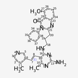 Cc1ccncc1/C=C/c1c(C)nc(N)nc1NCCCc1nc2cccc(C)c2c(=O)n1-c1ccccc1